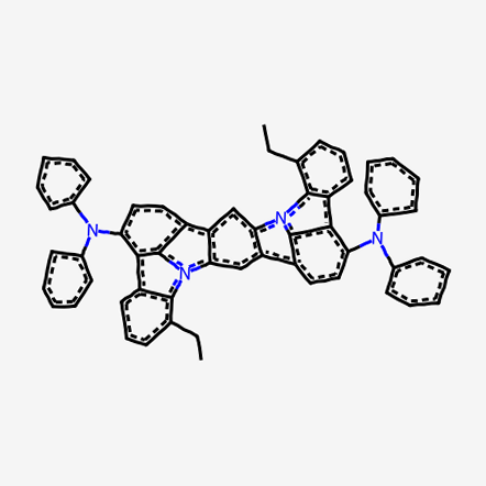 CCc1cccc2c3c(N(c4ccccc4)c4ccccc4)ccc4c5cc6c(cc5n(c12)c43)c1ccc(N(c2ccccc2)c2ccccc2)c2c3cccc(CC)c3n6c12